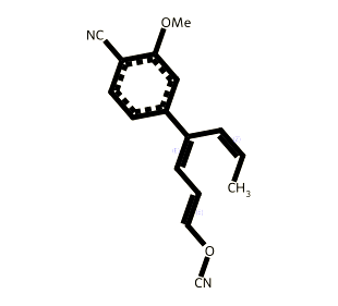 C\C=C/C(=C\C=C\OC#N)c1ccc(C#N)c(OC)c1